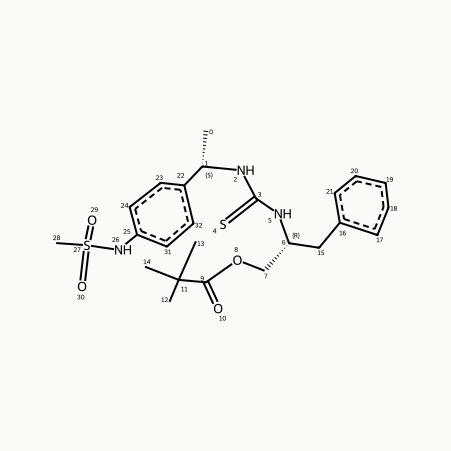 C[C@H](NC(=S)N[C@@H](COC(=O)C(C)(C)C)Cc1ccccc1)c1ccc(NS(C)(=O)=O)cc1